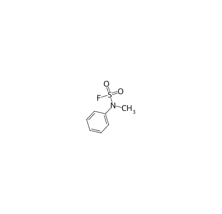 CN(c1ccccc1)S(=O)(=O)F